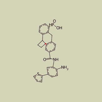 Nc1ccc(-c2cccs2)cc1NC(=O)c1ccc(Cc2c(C3CCC3)cccc2[PH](=O)O)cc1